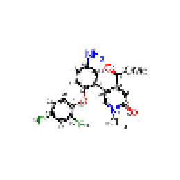 COC(=O)c1cc(=O)n(C)cc1-c1cc(N)ccc1Oc1ccc(F)cc1F